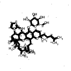 COC(=O)/C(C)=C\CC1(O)C(=O)C2CC(C(C)C)C13Oc1c(CC=C(C)C)c4c(c(O[C@H]5O[C@@H](CO)[C@H](O)[C@@H](O)[C@@H]5O)c1C1=C3C2n2ccnc2N1)C=CC(C)(CCC=C(C)C)O4